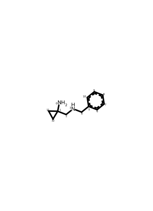 NC1(CNCc2ccccc2)CC1